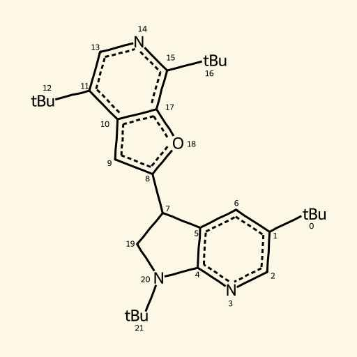 CC(C)(C)c1cnc2c(c1)C(c1cc3c(C(C)(C)C)cnc(C(C)(C)C)c3o1)CN2C(C)(C)C